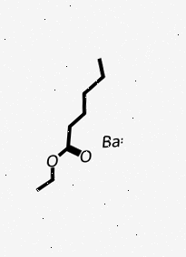 CCCCCC(=O)OCC.[Ba]